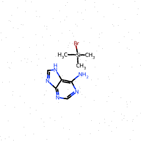 C[Si](C)(C)Br.Nc1ncnc2nc[nH]c12